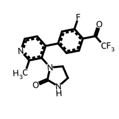 Cc1nccc(-c2ccc(C(=O)C(F)(F)F)c(F)c2)c1N1CCNC1=O